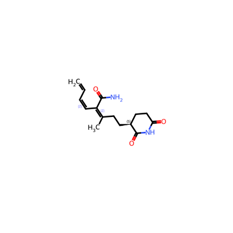 C=C/C=C\C(C(N)=O)=C(/C)CC[C@H]1CCC(=O)NC1=O